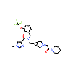 Cn1cnc(C(=O)N(Cc2cccc(OC(F)(F)F)c2)CC2C3CN(CC(=O)N4CCCCC4)CC32)c1